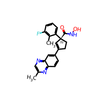 Cc1cnc2cc(C3=C[C@](C(=O)NO)(c4cccc(F)c4C)CC3)ccc2n1